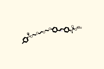 Cc1ccc(S(=O)OCCOCCOCCOc2ccc(/C=C/c3ccc(N(C)C(=O)OC(C)(C)C)cc3)cc2)cc1